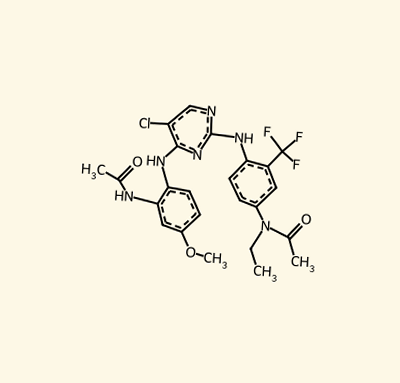 CCN(C(C)=O)c1ccc(Nc2ncc(Cl)c(Nc3ccc(OC)cc3NC(C)=O)n2)c(C(F)(F)F)c1